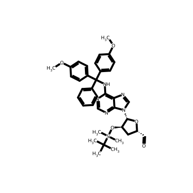 COc1ccc(C(Nc2ncnc3c2ncn3[C@@H]2O[C@H](C=O)C[C@H]2O[Si](C)(C)C(C)(C)C)(c2ccccc2)c2ccc(OC)cc2)cc1